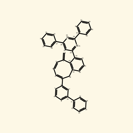 C=C1/C=C\C=C(\c2cccc(-c3ccccc3)c2)Cc2cccc(-c3cc(-c4ccccc4)nc(-c4ccccc4)n3)c21